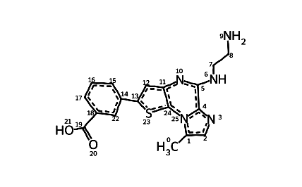 Cc1cnc2c(NCCN)nc3cc(-c4cccc(C(=O)O)c4)sc3n12